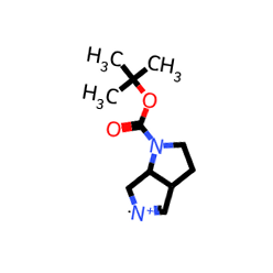 CC(C)(C)OC(=O)N1CCC2C=[N+]CC21